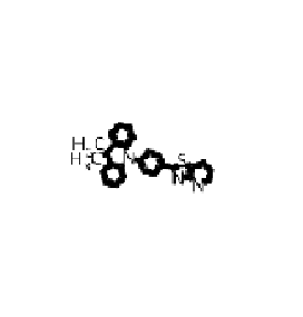 CC1(C)c2ccccc2N(c2ccc(-c3nc4ncccc4s3)cc2)c2ccccc21